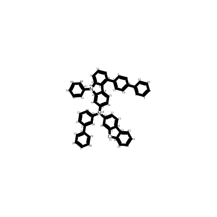 c1ccc(-c2ccc(-c3cccc4c3c3ccc(N(c5cccc(-c6ccccc6)c5)c5ccc6c(c5)oc5ccccc56)cc3n4-c3ccccc3)cc2)cc1